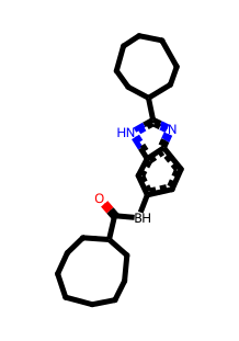 O=C(Bc1ccc2nc(C3CCCCCCC3)[nH]c2c1)C1CCCCCCCC1